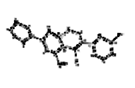 CNc1nc(-c2cnccn2)nc2ccc(-c3cccc(F)c3)c(F)c12